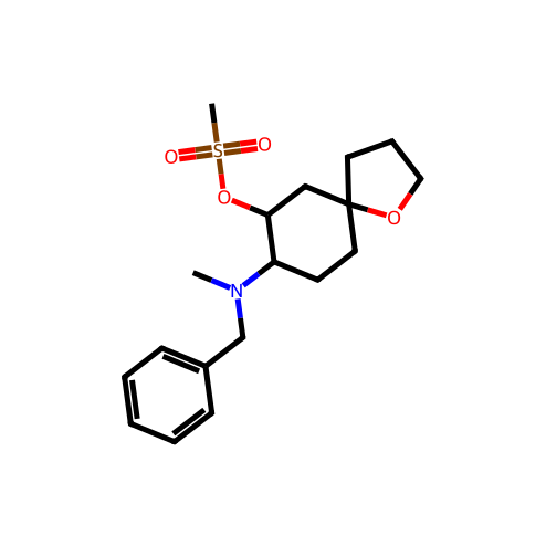 CN(Cc1ccccc1)C1CCC2(CCCO2)CC1OS(C)(=O)=O